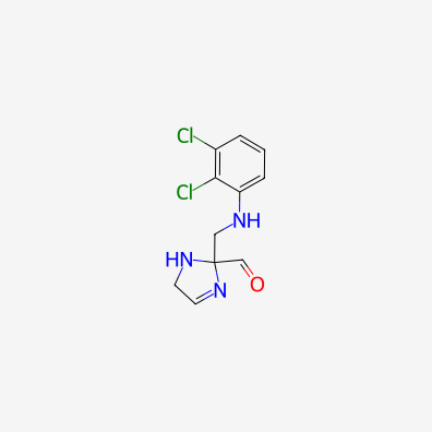 O=CC1(CNc2cccc(Cl)c2Cl)N=CCN1